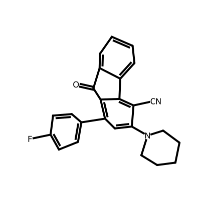 N#Cc1c(N2CCCCC2)cc(-c2ccc(F)cc2)c2c1-c1ccccc1C2=O